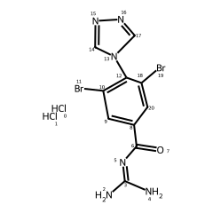 Cl.Cl.NC(N)=NC(=O)c1cc(Br)c(-n2cnnc2)c(Br)c1